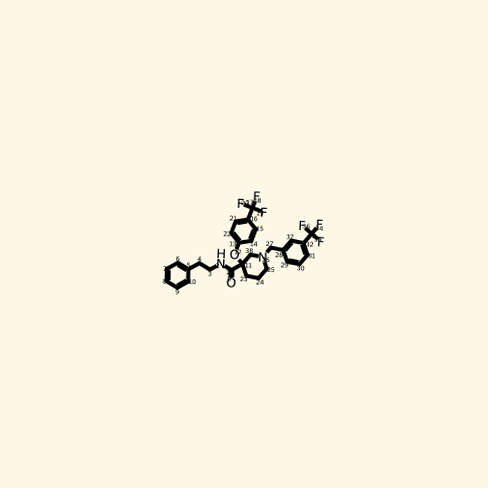 O=C(NCCc1ccccc1)C1(Oc2ccc(C(F)(F)F)cc2)CCCN(Cc2cccc(C(F)(F)F)c2)C1